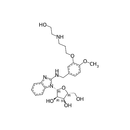 COc1ccc(CNc2nc3ccccc3n2[C@@H]2O[C@H](CO)[C@@H](O)[C@H]2O)cc1OCCCNCCO